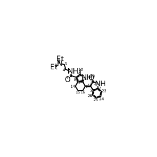 CCN(CC)CCNC(=O)c1c(C)[nH]c2c1CCC/C2=C1/C(=O)Nc2ccccc21